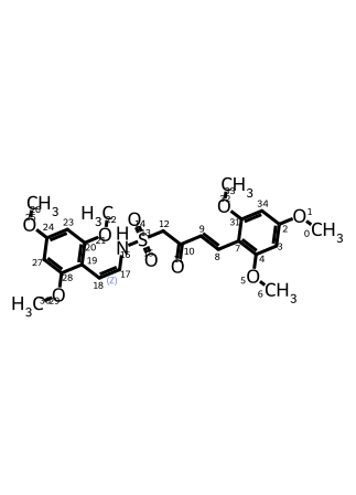 COc1cc(OC)c(C=CC(=O)CS(=O)(=O)N/C=C\c2c(OC)cc(OC)cc2OC)c(OC)c1